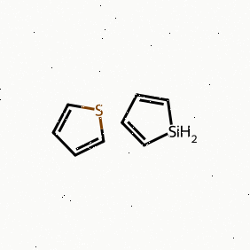 C1=C[SiH2]C=C1.c1ccsc1